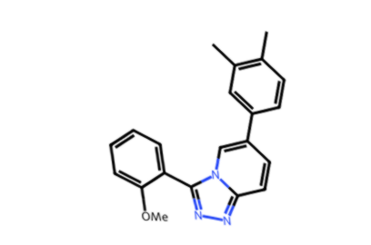 COc1ccccc1-c1nnc2ccc(-c3ccc(C)c(C)c3)cn12